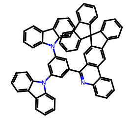 c1ccc2c(c1)-c1ccccc1C21c2ccccc2-c2cc3c(cc21)c(-c1cc(-n2c4ccccc4c4ccccc42)cc(-n2c4ccccc4c4ccccc42)c1)nc1ccccc13